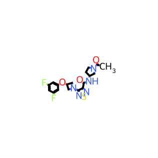 CC(=O)N1CCC(NC(=O)c2nsnc2N2CC(Oc3cc(F)cc(F)c3)C2)C1